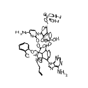 C=CCCC(=O)N(C)[C@](COc1ccccc1Cl)(C(=O)O)C1C(COP(=O)(O)O[C@H]2[C@@H](O)[C@H](n3ccc(N)nc3=O)O[C@@H]2COP(=O)(O)O)OC(n2cnc3c(N)ncnc32)C1O